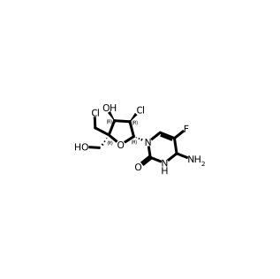 NC1NC(=O)N([C@@H]2O[C@@](CO)(CCl)[C@@H](O)[C@H]2Cl)C=C1F